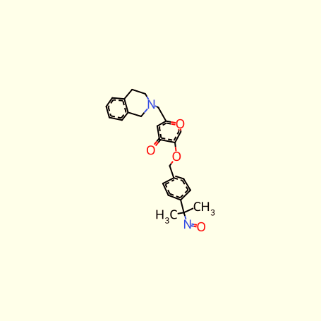 CC(C)(N=O)c1ccc(COc2coc(CN3CCc4ccccc4C3)cc2=O)cc1